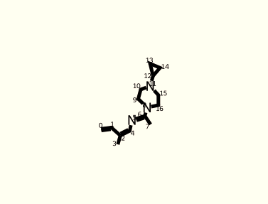 C=C/C(C)=C\N=C(/C)N1CCN(C2CC2)CC1